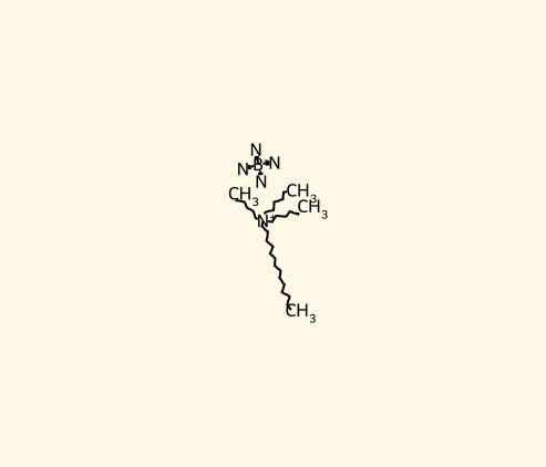 CCCCCCCCCCCCCC[N+](CCCCCC)(CCCCCC)CCCCCC.N#C[B-](C#N)(C#N)C#N